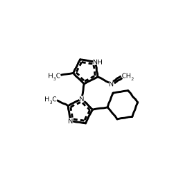 C=Nc1[nH]cc(C)c1-n1c(C2CCCCC2)cnc1C